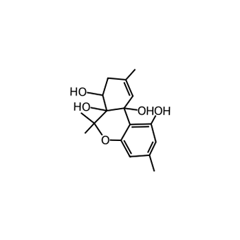 CC1=CC2(O)c3c(O)cc(C)cc3OC(C)(C)C2(O)C(O)C1